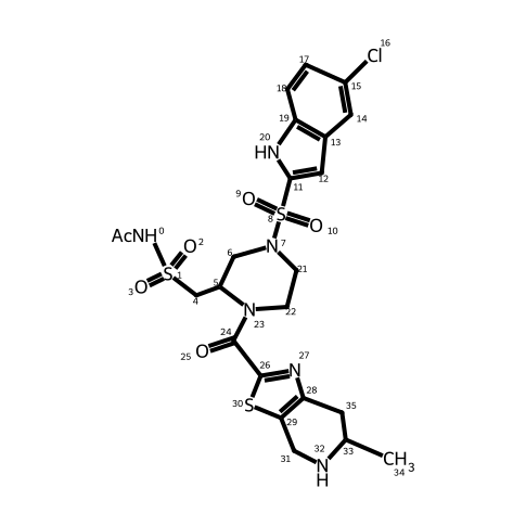 CC(=O)NS(=O)(=O)CC1CN(S(=O)(=O)c2cc3cc(Cl)ccc3[nH]2)CCN1C(=O)c1nc2c(s1)CNC(C)C2